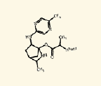 CCCCCC(C)C(=O)OC12CC(CC1Nc1cnc(C(F)(F)F)cn1)C(C)N2